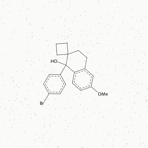 COc1ccc2c(c1)CCC1(CCC1)C2(O)c1ccc(Br)cc1